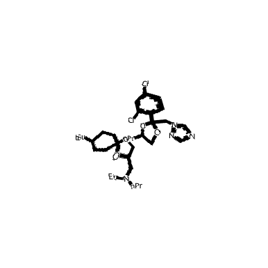 CCCC1COC(Cn2cncn2)(c2ccc(Cl)cc2Cl)O1.CCCN(CC)CC1COC2(CCC(C(C)(C)C)CC2)O1